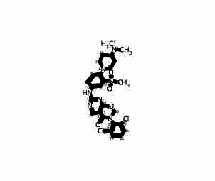 CN(C)C1CCN(c2ccc(Nc3ncc4c(n3)OCN(c3c(Cl)cccc3Cl)C4=O)cc2S(C)(=O)=O)CC1